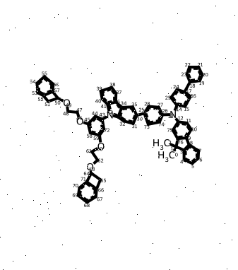 CC1(C)c2ccccc2-c2ccc(N(c3ccc(-c4ccccc4)cc3)c3ccc(-c4ccc5c(c4)c4ccccc4n5-c4cc(OCCOC5Cc6ccccc65)cc(OCCOC5Cc6ccccc65)c4)cc3)cc21